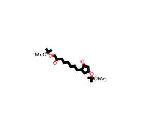 COC(C)(C)OCC(=O)CCCCCCC1CC(OC(C)(C)OC)CC1=O